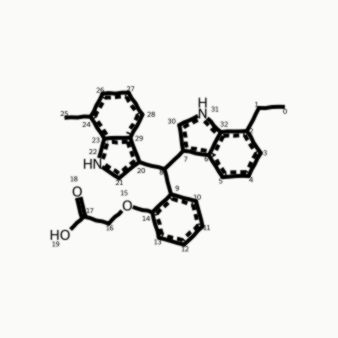 CCc1cccc2c(C(c3ccccc3OCC(=O)O)c3c[nH]c4c(C)cccc34)c[nH]c12